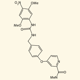 CNC(=O)c1cc(Oc2ccc(CNC(=O)Nc3cc(OC)c([N+](=O)[O-])cc3OC)cc2)ccn1